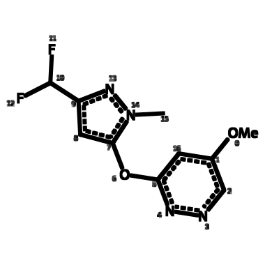 COc1cnnc(Oc2cc(C(F)F)nn2C)c1